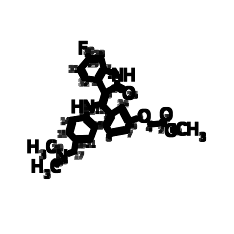 COC(=O)COc1cccc(C(Nc2ccc(CN(C)C)cc2)=C2C(=O)Nc3cc(F)ccc32)c1